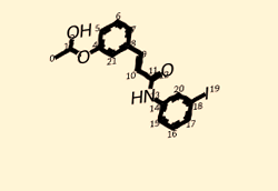 CC(O)Oc1cccc(/C=C/C(=O)Nc2cccc(I)c2)c1